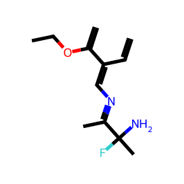 C=C/C(=C\N=C(/C)C(C)(N)F)C(=C)OCC